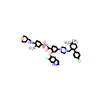 CC1(C)CCC(c2ccc(Cl)cc2)=C(CN2CCN(c3ccc(C(=O)NS(=O)(=O)c4ccc(NCC5CCOCC5)c([N+](=O)[O-])c4)c(Oc4cc5cc[nH]c5cc4F)c3)CC2)C1